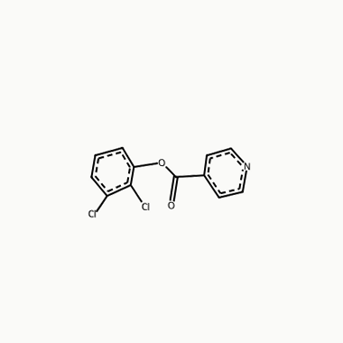 O=C(Oc1cccc(Cl)c1Cl)c1ccncc1